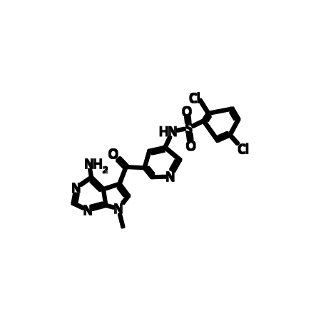 Cn1cc(C(=O)c2cncc(NS(=O)(=O)c3cc(Cl)ccc3Cl)c2)c2c(N)ncnc21